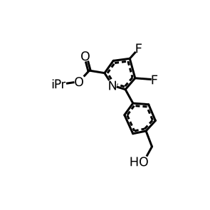 CC(C)OC(=O)c1cc(F)c(F)c(-c2ccc(CO)cc2)n1